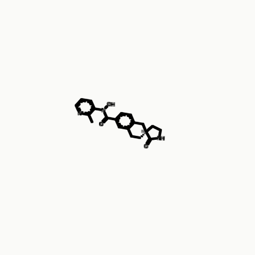 Cc1ncccc1N(O)C(=O)c1ccc2c(c1)CC[C@@]1(CCNC1=O)C2